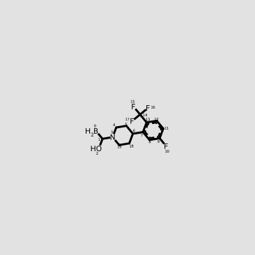 BC(O)N1CCC(c2cc(F)ccc2C(F)(F)F)CC1